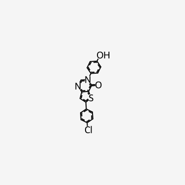 O=c1c2sc(-c3ccc(Cl)cc3)cc2ncn1-c1ccc(O)cc1